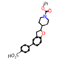 CC(C)OC(=O)N1CCC(C2Cc3cc(-c4ccc(C(=O)O)cc4)ccc3O2)CC1